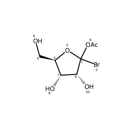 CC(=O)OC1(Br)O[C@H](CO)[C@@H](O)[C@H]1O